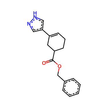 O=C(OCc1ccccc1)C1CCC=C(c2cn[nH]c2)C1